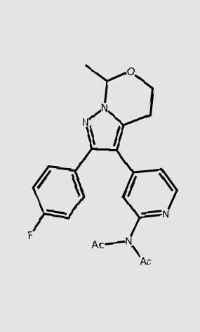 CC(=O)N(C(C)=O)c1cc(-c2c(-c3ccc(F)cc3)nn3c2CCOC3C)ccn1